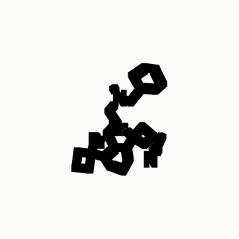 CC#N.CN(CCCc1c(C2(Br)CCC2)cccc1C1(Br)CCC1)Cc1ccccc1